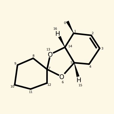 C[C@H]1C=CC[C@@H]2OC3(CCCCC3)O[C@@H]21